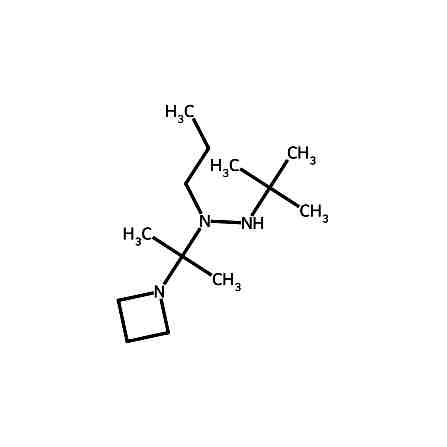 CCCN(NC(C)(C)C)C(C)(C)N1CCC1